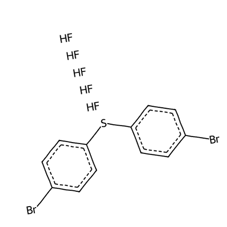 Brc1ccc(Sc2ccc(Br)cc2)cc1.F.F.F.F.F